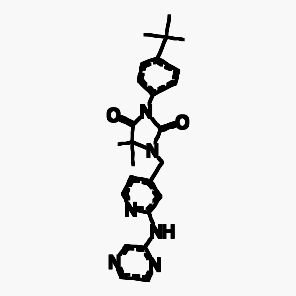 CC(C)(C)c1ccc(N2C(=O)N(Cc3ccnc(Nc4cnccn4)c3)C(C)(C)C2=O)cc1